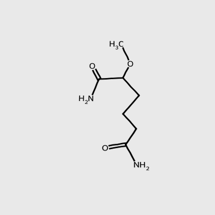 COC(CCCC(N)=O)C(N)=O